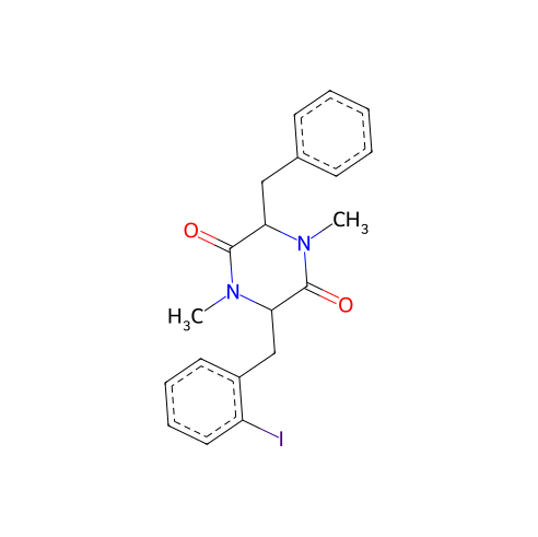 CN1C(=O)C(Cc2ccccc2I)N(C)C(=O)C1Cc1ccccc1